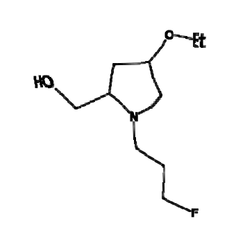 CCOC1CC(CO)N(CCCF)C1